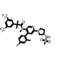 Cc1cc(F)ccc1-c1cc(N2CC[C@H](NS(C)(=O)=O)C2)ncc1N(C)C(=O)C(C)(C)c1cc(C(F)(F)F)cc(C(F)(F)F)c1